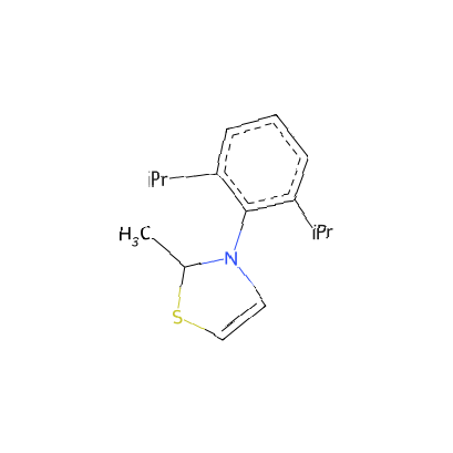 CC(C)c1cccc(C(C)C)c1N1C=CSC1C